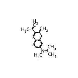 C=C(C)C1=Cc2ccc(N(C)C(C)C)cc2CC1=C